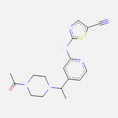 CC(=O)N1CCN(C(C)c2ccnc(Nc3ncc(C#N)s3)c2)CC1